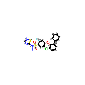 O=S(=O)(Nc1ncns1)c1cc(Cl)c(Oc2ccccc2-c2ccccc2)cc1F